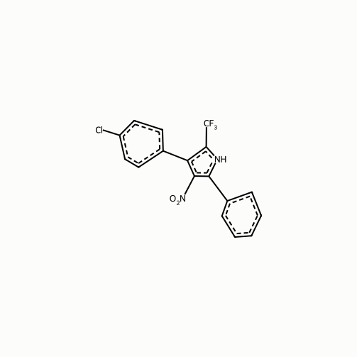 O=[N+]([O-])c1c(-c2ccccc2)[nH]c(C(F)(F)F)c1-c1ccc(Cl)cc1